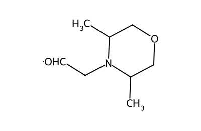 CC1COCC(C)N1C[C]=O